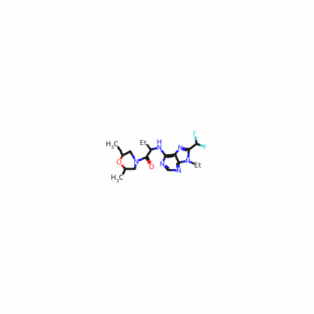 CCC(Nc1ncnc2c1nc(C(F)F)n2CC)C(=O)N1CC(C)OC(C)C1